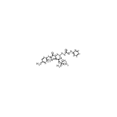 Cc1ccc(CN(N)C(=O)C(CCCCC(=O)OCc2ccccc2)NC(=O)OC(C)(C)C)cc1